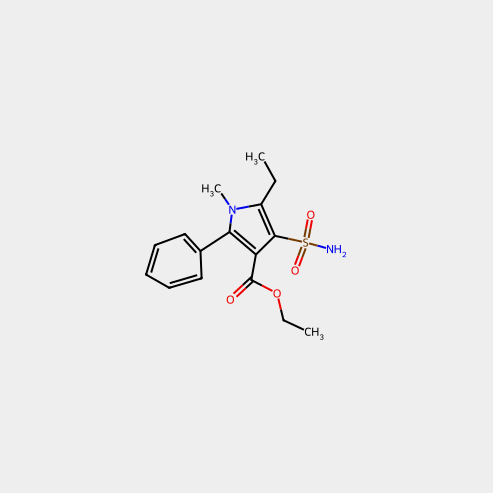 CCOC(=O)c1c(S(N)(=O)=O)c(CC)n(C)c1-c1ccccc1